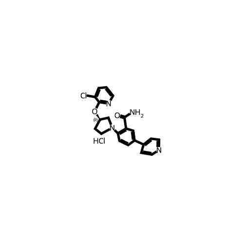 Cl.NC(=O)c1cc(-c2ccncc2)ccc1N1CC[C@@H](Oc2ncccc2Cl)C1